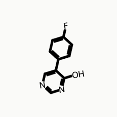 Oc1ncncc1-c1ccc(F)cc1